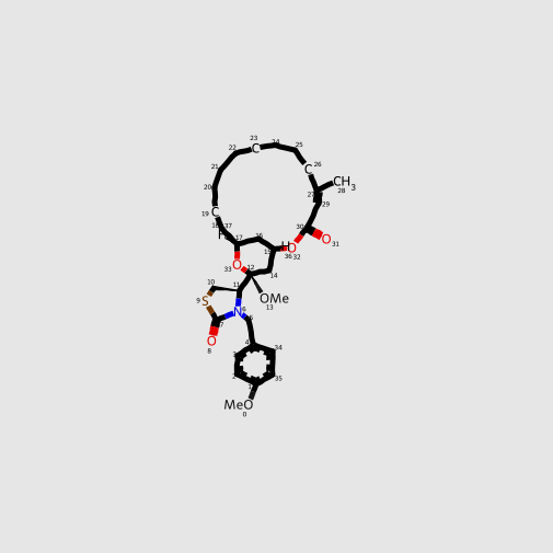 COc1ccc(CN2C(=O)SC[C@H]2[C@@]2(OC)C[C@H]3C[C@@H](CCCCCCCCC/C(C)=C\C(=O)O3)O2)cc1